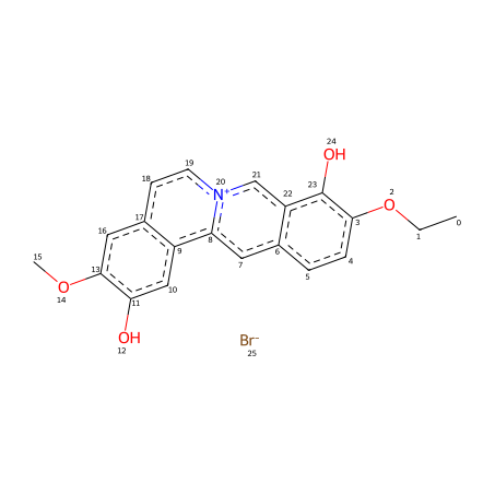 CCOc1ccc2cc3c4cc(O)c(OC)cc4cc[n+]3cc2c1O.[Br-]